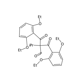 CCOc1cccc(OCC)c1C(=O)C(P=O)(C(=O)c1c(OCC)cccc1OCC)C(C)C